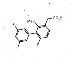 COc1c(CC(=O)O)ccc(F)c1-c1cc(F)cc(F)c1